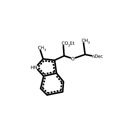 CCCCCCCCCCC(C)OC(C(=O)OCC)c1c(C)[nH]c2ccccc12